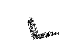 O=[Si](O)O.O=[Si](O)O.O=[Si](O)O.O=[Si](O)O.O=[Si](O)O.O=[Si](O)O.O=[Si](O)O.O=[Si](O)O.O=[Si](O)O.O=[Si](O)O.[NaH].[NaH]